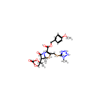 COc1ccc(COC(=O)C2=C(CSc3nnnn3C)S[C@H]3C(C4(C)COC(=O)O4)C(=O)N23)cc1